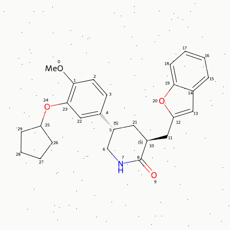 COc1ccc([C@H]2CNC(=O)[C@H](Cc3cc4ccccc4o3)C2)cc1OC1CCCC1